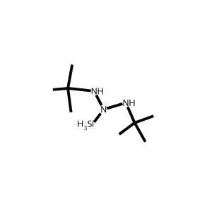 CC(C)(C)NN([SiH3])NC(C)(C)C